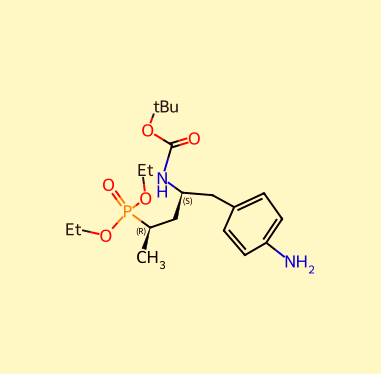 CCOP(=O)(OCC)[C@H](C)C[C@H](Cc1ccc(N)cc1)NC(=O)OC(C)(C)C